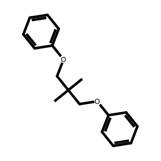 CC(C)(COc1ccccc1)COc1ccccc1